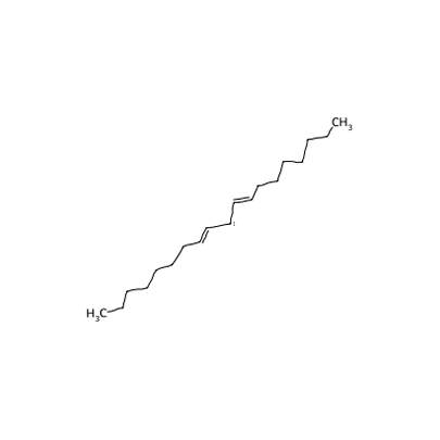 CCCCCCC/C=C/[C]/C=C/CCCCCCC